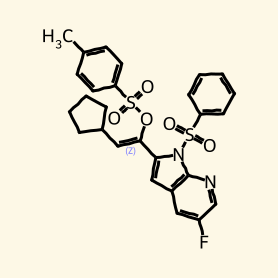 Cc1ccc(S(=O)(=O)O/C(=C\C2CCCC2)c2cc3cc(F)cnc3n2S(=O)(=O)c2ccccc2)cc1